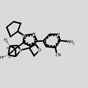 N#Cc1cc(-c2cc(C34C5[C@H]3[C@H]4CN5C3COC3)n(C3CCCC3)n2)cnc1N